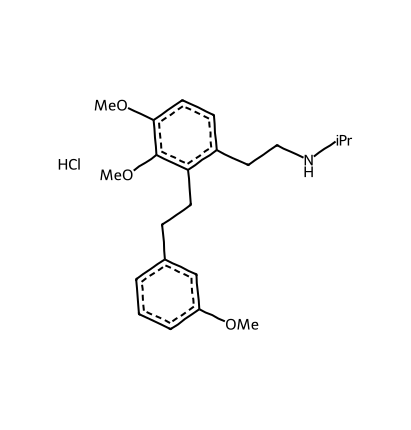 COc1cccc(CCc2c(CCNC(C)C)ccc(OC)c2OC)c1.Cl